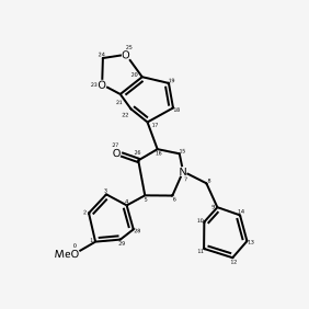 COc1ccc(C2CN(Cc3ccccc3)CC(c3ccc4c(c3)OCO4)C2=O)cc1